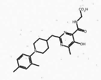 Cc1ccc(N2CCC(Cc3nc(C)c(O)c(C(=O)NCC(=O)O)n3)CC2)c(C)c1